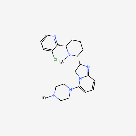 CC(C)N1CCN(C2=CC=CC3=NC([C@H]4CCC[C@@H](c5ncccc5Cl)N4C)CN23)CC1